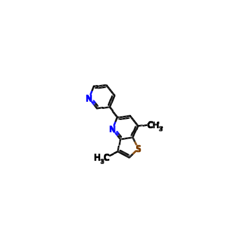 Cc1csc2c(C)cc(-c3cccnc3)nc12